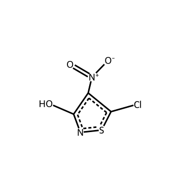 O=[N+]([O-])c1c(O)nsc1Cl